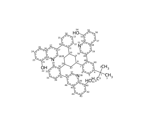 CC(C)(C)c1ccc(C2CC(c3ccccc3-c3cnc4c(O)cccc4c3)CC(c3ccccc3-c3cnc4c(O)cccc4c3)C2)c(-c2cnc3c(O)cccc3c2)c1